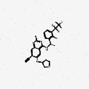 C#Cc1cc2nc(C)nc(N[C@H](C)c3cccc(C(F)(F)C(C)(C)O)c3F)c2cc1OC1CCOC1